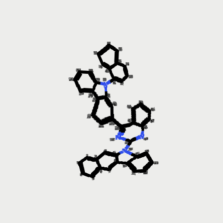 c1ccc2cc3c(cc2c1)c1ccccc1n3-c1nc(-c2ccc3c4ccccc4n(-c4cccc5ccccc45)c3c2)c2ccccc2n1